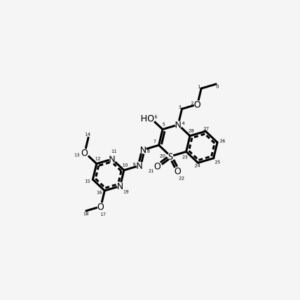 CCOCN1C(O)=C(N=Nc2nc(OC)cc(OC)n2)S(=O)(=O)c2ccccc21